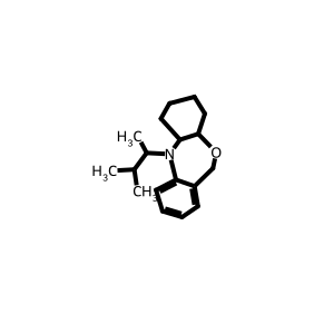 CC(C)C(C)N1c2ccccc2COC2CCCCC21